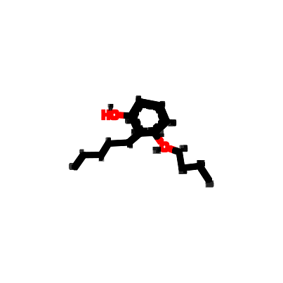 CCCCCc1c(O)cccc1OCCCC